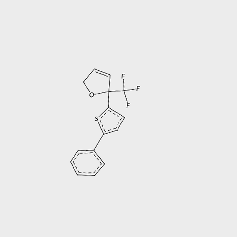 FC(F)(F)C1(c2ccc(-c3ccccc3)s2)C=CCO1